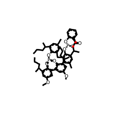 CCCC(C)c1cc(C)cc(Cc2cc(C)cc(C(C)CCC)c2Op2oc3c(C(C)CCC)cc(OC)cc3c3cc(OC)cc(C(C)CCC)c3o2)c1OP1OC(=O)c2ccccc2O1